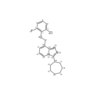 Fc1cccc(Cl)c1OCc1cccn2c(C3CCCCCC3)nnc12